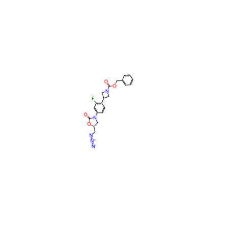 [N-]=[N+]=NCC1CN(c2ccc(C3CN(C(=O)OCc4ccccc4)C3)c(F)c2)C(=O)O1